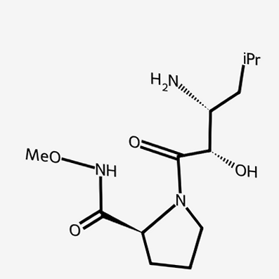 CONC(=O)[C@@H]1CCCN1C(=O)[C@@H](O)[C@H](N)CC(C)C